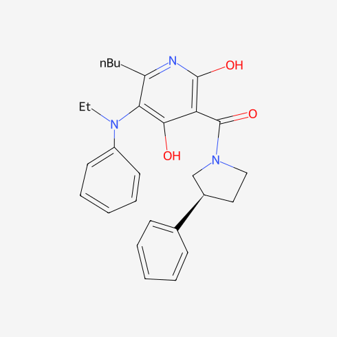 CCCCc1nc(O)c(C(=O)N2CC[C@@H](c3ccccc3)C2)c(O)c1N(CC)c1ccccc1